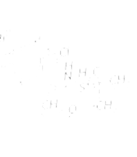 CC(N[S+]([O-])C(C)(C)C)c1ccc(Br)cc1Cl